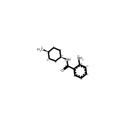 C[C@H]1CC[C@@H](NC(=O)c2ccccc2N)CC1